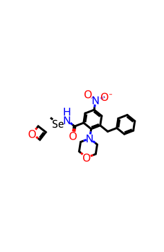 C1=COC1.C[Se]NC(=O)c1cc([N+](=O)[O-])cc(Cc2ccccc2)c1N1CCOCC1